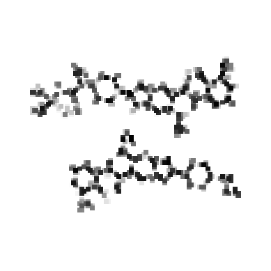 CNC1CCC(n2cc3cc(C(=O)Nc4cccn(C)c4=O)c(OC)cc3n2)CC1.COc1cc2nn(C3CCC(N(C)C(=O)OC(C)(C)C)CC3)cc2cc1C(=O)Nc1cccn(C)c1=O